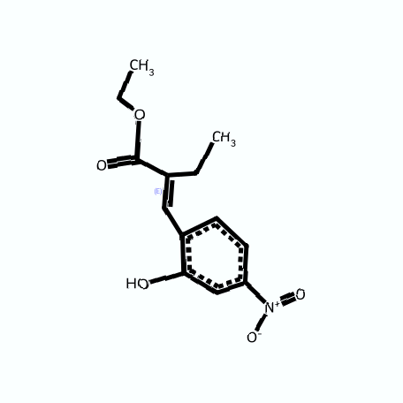 CCOC(=O)/C(=C/c1ccc([N+](=O)[O-])cc1O)CC